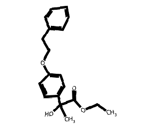 CCOC(=O)C(C)(O)c1ccc(OCCc2ccccc2)cc1